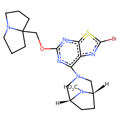 O=C(O)N1[C@@H]2CC[C@H]1CN(c1nc(OCC34CCCN3CCC4)nc3sc(Br)nc13)C2